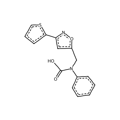 O=C(O)N(Cc1cc(-c2cccs2)no1)c1ccccc1